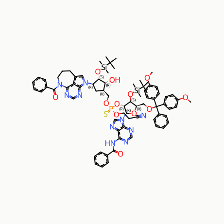 COc1ccc(C(OC[C@H]2O[C@@H](n3cnc4c(NC(=O)c5ccccc5)ncnc43)[C@H](OP(=S)(OCCC#N)OC[C@H]3C[C@@H](n4cc5c6c(ncnc64)N(C(=O)c4ccccc4)CCC5)[C@H](O[Si](C)(C)C(C)(C)C)[C@@H]3O)[C@H]2O[Si](C)(C)C(C)(C)C)(c2ccccc2)c2ccc(OC)cc2)cc1